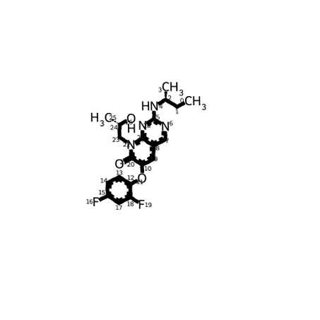 CC[C@H](C)Nc1ncc2cc(Oc3ccc(F)cc3F)c(=O)n(C[C@H](C)O)c2n1